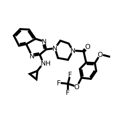 COc1ccc(OC(F)(F)F)cc1C(=O)N1CCN(c2nc3ccccc3nc2NC2CC2)CC1